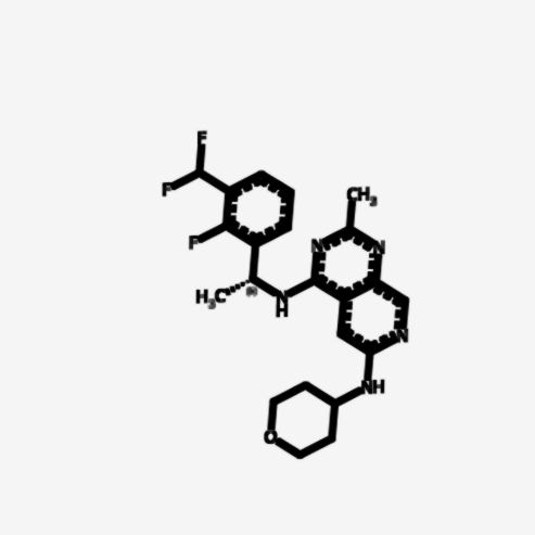 Cc1nc(N[C@H](C)c2cccc(C(F)F)c2F)c2cc(NC3CCOCC3)ncc2n1